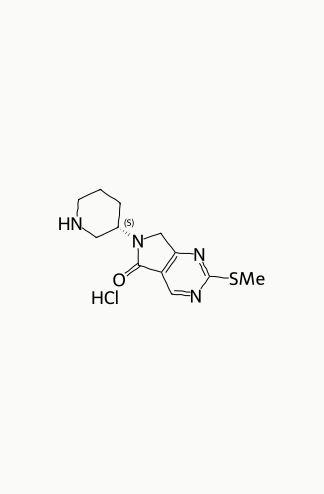 CSc1ncc2c(n1)CN([C@H]1CCCNC1)C2=O.Cl